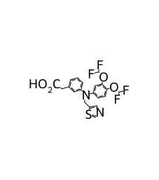 O=C(O)Cc1cccc(N(Cc2cncs2)c2ccc(OC(F)F)c(OC(F)F)c2)c1